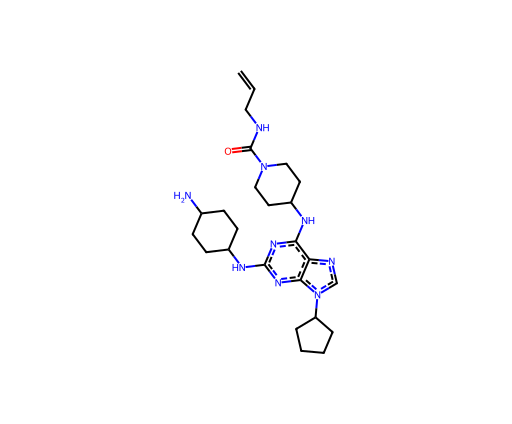 C=CCNC(=O)N1CCC(Nc2nc(NC3CCC(N)CC3)nc3c2ncn3C2CCCC2)CC1